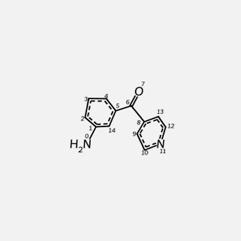 Nc1cccc(C(=O)c2ccncc2)c1